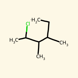 [CH2]CC(C)C(C)C(C)Cl